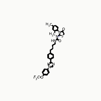 Cc1ccc(N2C(=O)CS/C2=N\C(=O)NCCCCc2ccc(-c3ncn(-c4ccc(OC(F)(F)F)cc4)n3)cc2)c(C)c1